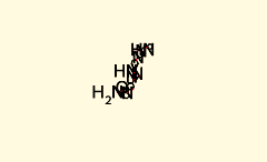 NC(=O)[C@H]1CCCN1c1ccc(-c2ccnc(Nc3ccc(N4CCN(C[C@@H]5CCCN5)CC4)cc3)n2)cc1